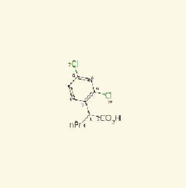 CCCC(C(=O)O)c1ccc(Cl)cc1Cl